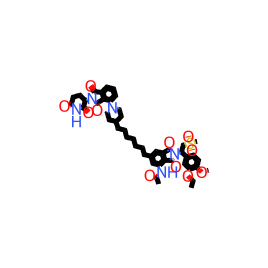 CCOc1cc(C(CS(C)(=O)=O)N2C(=O)c3cc(CCCCCCCC4CCN(c5cccc6c5C(=O)N(C5CCC(=O)NC5=O)C6=O)CC4)cc(NC(C)=O)c3C2=O)ccc1OC